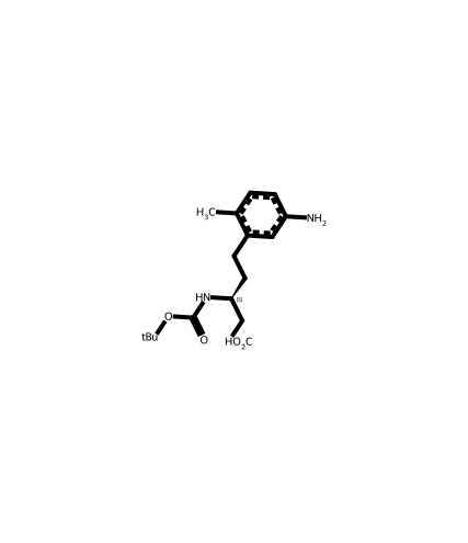 Cc1ccc(N)cc1CC[C@@H](CC(=O)O)NC(=O)OC(C)(C)C